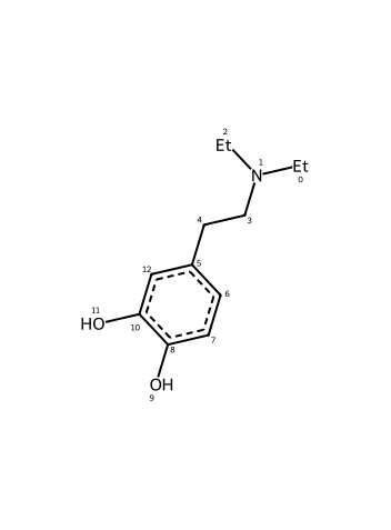 CCN(CC)CCc1ccc(O)c(O)c1